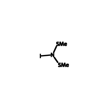 CSN(I)SC